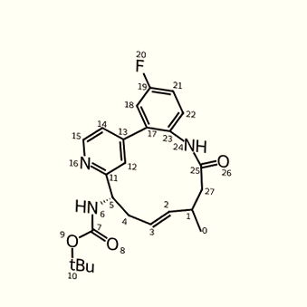 CC1/C=C/C[C@H](NC(=O)OC(C)(C)C)c2cc(ccn2)-c2cc(F)ccc2NC(=O)C1